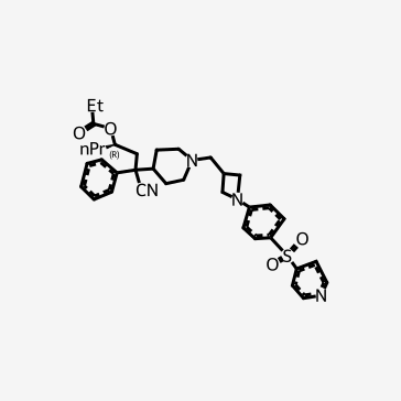 CCC[C@H](CC(C#N)(c1ccccc1)C1CCN(CC2CN(c3ccc(S(=O)(=O)c4ccncc4)cc3)C2)CC1)OC(=O)CC